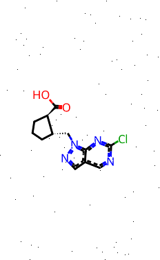 O=C(O)[C@@H]1CCC[C@H]1Cn1ncc2cnc(Cl)nc21